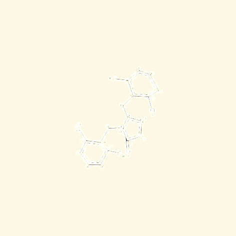 O=c1onc(Cc2c(F)cccc2Cl)n1Cc1c(F)cccc1Cl